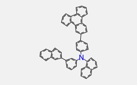 c1cc(-c2ccc3ccccc3c2)cc(N(c2ccc(-c3ccc4c5ccccc5c5ccccc5c4c3)cc2)c2cccc3ccccc23)c1